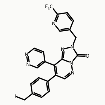 O=c1n(Cc2ccc(C(F)(F)F)nc2)nc2c(-c3ccnnc3)c(-c3ccc(CI)cc3)cnn12